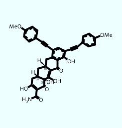 COc1ccc(C#Cc2cc(C#Cc3ccc(OC)cc3)c3c(c2O)C(=O)C2=C(O)[C@]4(O)C(=O)C(C(N)=O)=C(O)C[C@@H]4C[C@@H]2C3)cc1